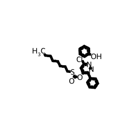 CCCCCCCCSC(=O)Oc1cc(Cl)nnc1-c1ccccc1.Oc1ccccc1